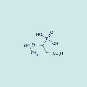 CCC(CC(=O)O)P(=O)(O)O.CCCC